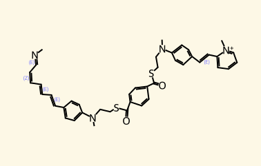 C/N=C/C=C\C=C\C=C\c1ccc(N(C)CCSC(=O)c2ccc(C(=O)SCCN(C)c3ccc(/C=C/c4cccc[n+]4C)cc3)cc2)cc1